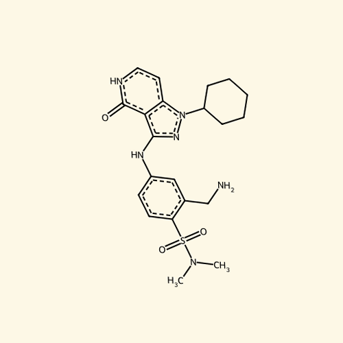 CN(C)S(=O)(=O)c1ccc(Nc2nn(C3CCCCC3)c3cc[nH]c(=O)c23)cc1CN